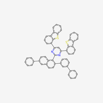 c1ccc(-c2cccc(-c3ccc4cc(-c5ccccc5)ccc4c3-c3nc(-c4cccc5c4sc4ccccc45)cc(-c4cccc5c4sc4ccccc45)n3)c2)cc1